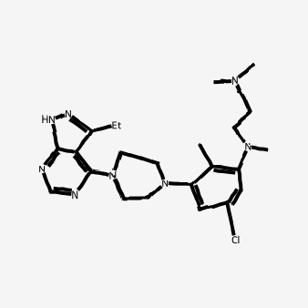 CCc1n[nH]c2ncnc(N3CCN(c4cc(Cl)cc(N(C)CCN(C)C)c4C)CC3)c12